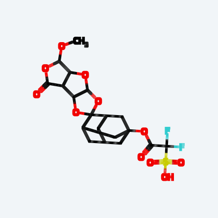 COC1OC(=O)C2C1OC1OC3(OC12)C1CC2CC3CC(OC(=O)C(F)(F)S(=O)(=O)O)(C2)C1